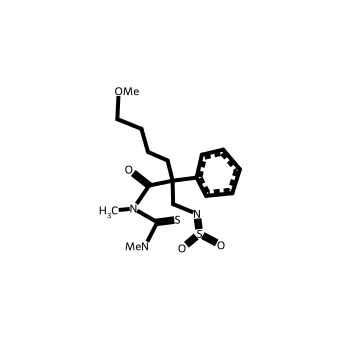 CNC(=S)N(C)C(=O)C(CCCCOC)(CN=S(=O)=O)c1ccccc1